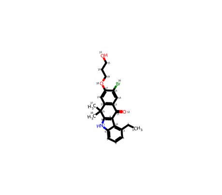 CCc1cccc2[nH]c3c(c12)C(=O)c1cc(Br)c(OCCCO)cc1C3(C)C